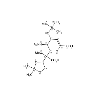 COC(C(=O)O)(C1COC(C)(C)O1)C1OC(C(=O)O)=CC(O[Si](C)(C)C(C)(C)C)C1NC(C)=O